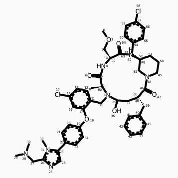 COC[C@@H]1NC(=O)[C@H](C)N(Cc2ccc(Cl)cc2Oc2ccc(-c3cnc(CN(C)C)n3C)cc2)C(O)C[C@@H](Cc2ccccc2)C(=O)N2CCC[C@@](Cc3ccc(Cl)cc3)(C2)NC1=O